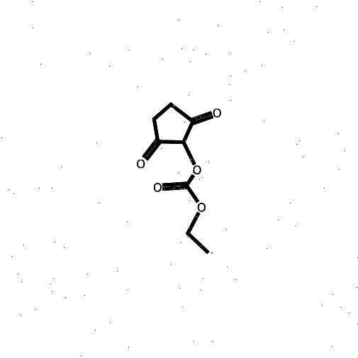 [CH2]COC(=O)OC1C(=O)CCC1=O